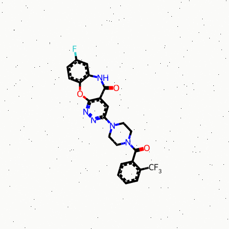 O=C1Nc2cc(F)ccc2Oc2nnc(N3CCN(C(=O)c4ccccc4C(F)(F)F)CC3)cc21